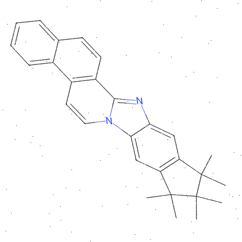 CC1(C)c2cc3nc4c5ccc6ccccc6c5ccn4c3cc2C(C)(C)C1(C)C